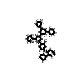 Fc1cc(-n2c3ccccc3c3cnccc32)ccc1-c1cc(-c2cc(-c3ccccc3)cc(-c3ccccc3)c2)cc(-c2ccccn2)n1